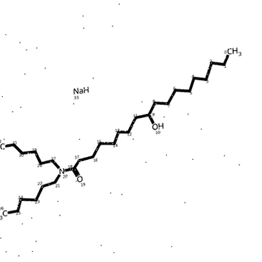 CCCCCCCCCC(O)CCCCCCCC(=O)N(CCCCCC)CCCCCC.[NaH]